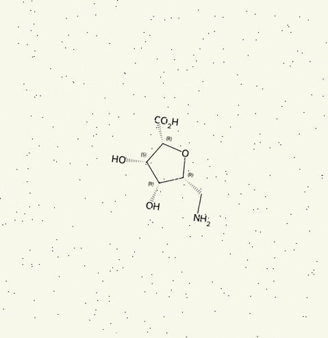 NC[C@H]1O[C@@H](C(=O)O)[C@@H](O)[C@H]1O